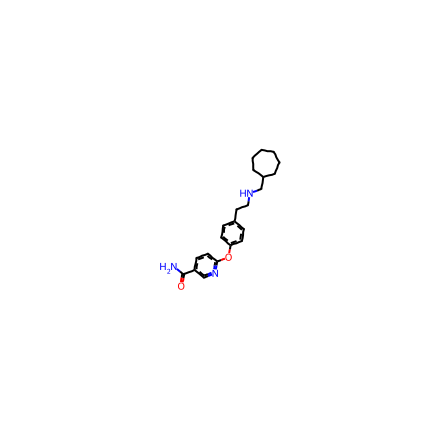 NC(=O)c1ccc(Oc2ccc(CCNCC3CCCCCC3)cc2)nc1